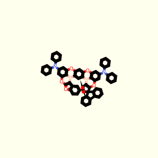 c1ccc(N(c2ccccc2)c2cc3c4c(c2)Oc2cc5c(cc2B4C2=C(O3)C3(c4ccccc42)c2ccccc2-c2ccccc23)B2c3c(cc(N(c4ccccc4)c4ccccc4)cc3Oc3oc4ccccc4c32)O5)cc1